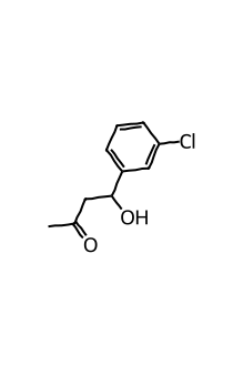 CC(=O)CC(O)c1cccc(Cl)c1